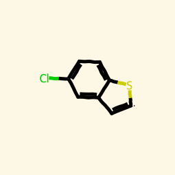 Clc1ccc2s[c]cc2c1